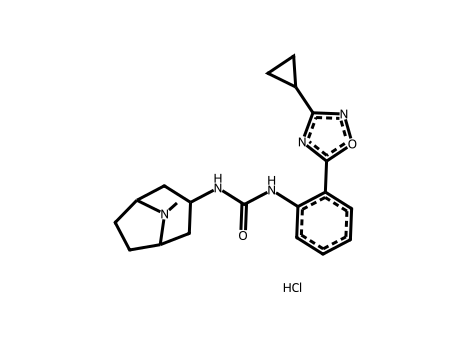 CN1C2CCC1CC(NC(=O)Nc1ccccc1-c1nc(C3CC3)no1)C2.Cl